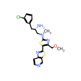 COCc1nc(N(C)C[C@@H](N)Cc2cccc(Cl)c2)sc1-c1nc2ccncc2s1